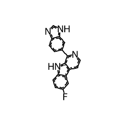 Fc1ccc2[nH]c3c(-c4ccc5nc[nH]c5c4)nccc3c2c1